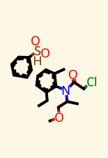 CCc1cccc(C)c1N(C(=O)CCl)C(C)COC.O=[SH](=O)c1ccccc1